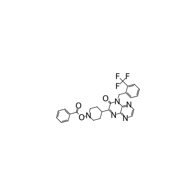 O=C(ON1CCC(c2nc3nccnc3n(Cc3ccccc3C(F)(F)F)c2=O)CC1)c1ccccc1